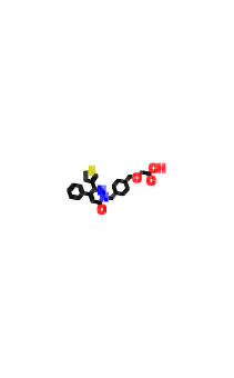 O=C(O)COC[C@H]1CC[C@@H](Cn2nc(-c3ccsc3)c(-c3ccccc3)cc2=O)CC1